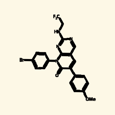 COc1ccc(-c2cc3cnc(NCC(F)(F)F)nc3n(-c3ccc(Br)cc3)c2=O)cc1